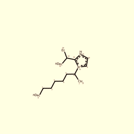 CCCCCCCCCCCCCCCC(C)[n+]1cc[nH]c1C(CC)CCCCCCCCCC